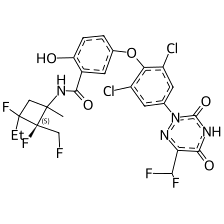 CCC1(F)CC(C)(NC(=O)c2cc(Oc3c(Cl)cc(-n4nc(C(F)F)c(=O)[nH]c4=O)cc3Cl)ccc2O)[C@]1(F)CF